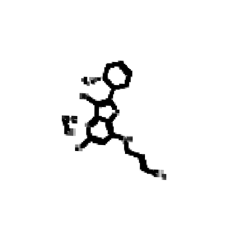 C/C=C/CNc1cc(Cl)nc2c(Br)c([C@@H]3CC=CC[C@H]3N)sc12.O=CO